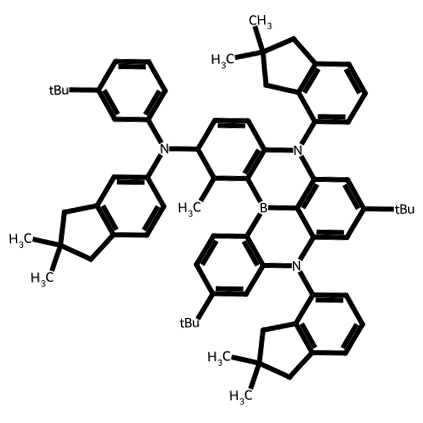 CC1C2=C(C=CC1N(c1cccc(C(C)(C)C)c1)c1ccc3c(c1)CC(C)(C)C3)N(c1cccc3c1CC(C)(C)C3)c1cc(C(C)(C)C)cc3c1B2c1ccc(C(C)(C)C)cc1N3c1cccc2c1CC(C)(C)C2